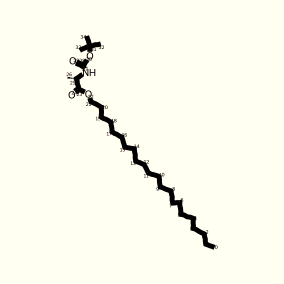 CCCCCCCCCCCCCCCCCCCCCCOC(=O)[C@H](C)NC(=O)OC(C)(C)C